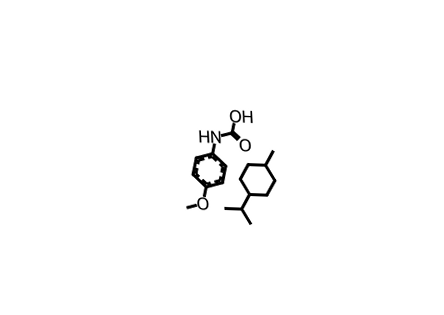 CC1CCC(C(C)C)CC1.COc1ccc(NC(=O)O)cc1